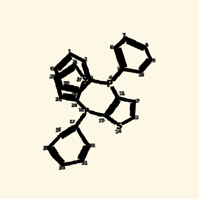 c1ccc(P(c2ccccc2)c2ccsc2P(c2ccccc2)c2cccs2)cc1